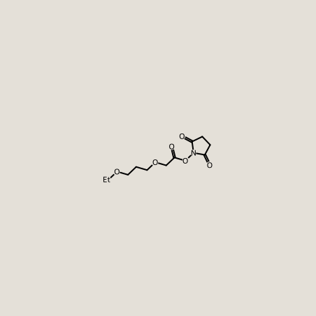 CCOCCCOCC(=O)ON1C(=O)CCC1=O